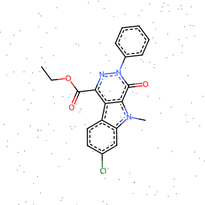 CCOC(=O)c1nn(-c2ccccc2)c(=O)c2c1c1ccc(Cl)cc1n2C